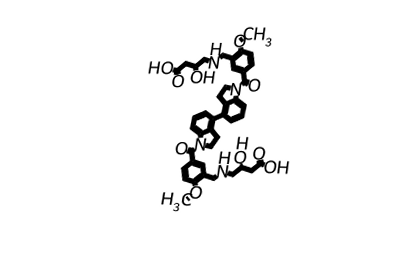 COc1ccc(C(=O)N2CCc3c(-c4cccc5c4CCN5C(=O)c4ccc(OC)c(CNC[C@@H](O)CC(=O)O)c4)cccc32)cc1CNCC(O)CC(=O)O